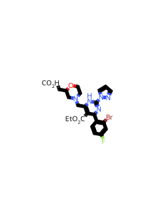 CCOC(=O)C1=C(CN2CCOC(CC(=O)O)C2)NC(n2cccn2)=NC1c1ccc(F)cc1Br